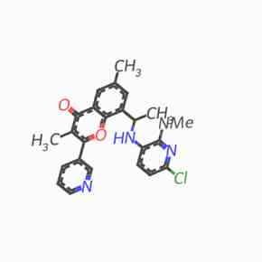 CNc1nc(Cl)ccc1NC(C)c1cc(C)cc2c(=O)c(C)c(-c3cccnc3)oc12